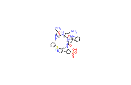 CN1C(=O)[C@H](CCCN)NC(=O)[C@H](CCCN)NCc2ccccc2SC2=C(CNC(=O)[C@@H]1Cc1c[nH]c3ccccc13)C(c1ccc(P(=O)(O)O)cc1)=CCN2F